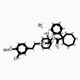 COc1ccc(CC[N+]23CCC(CC2)[C@@H](OC(=O)C2(c4ccccc4)CCCCCC2)C3)cc1Cl.[Br-]